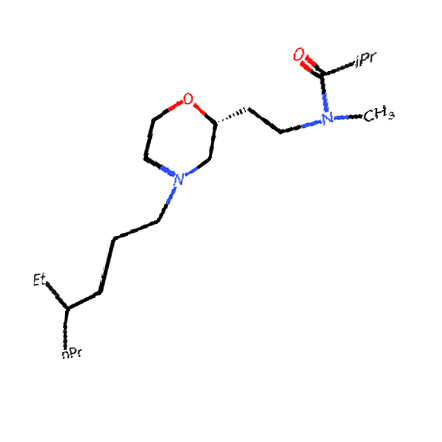 CCCC(CC)CCCN1CCO[C@H](CCN(C)C(=O)C(C)C)C1